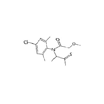 COCC(=O)N(c1c(C)cc(Cl)cc1C)C(C)C(C)=S